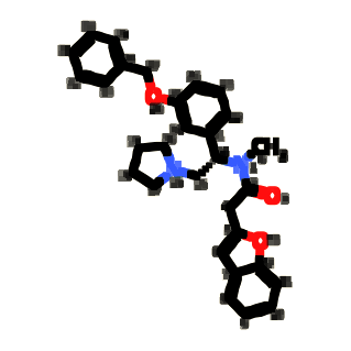 CN(C(=O)Cc1cc2ccccc2o1)[C@H](CN1CCCC1)c1cccc(OCc2ccccc2)c1